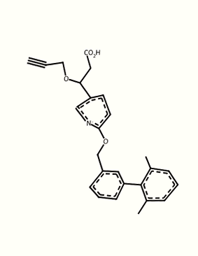 C#CCOC(CC(=O)O)c1ccc(OCc2cccc(-c3c(C)cccc3C)c2)nc1